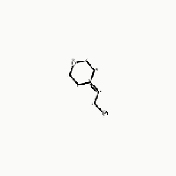 CC(C)CC=C1CCOCC1